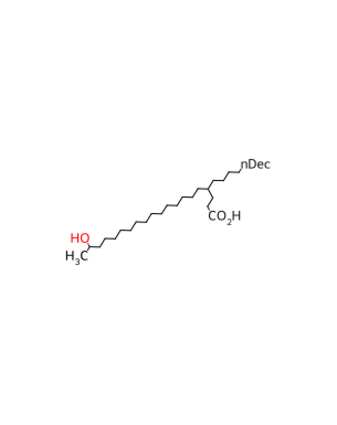 CCCCCCCCCCCCCCC(CCCCCCCCCCCCCCC(C)O)CCC(=O)O